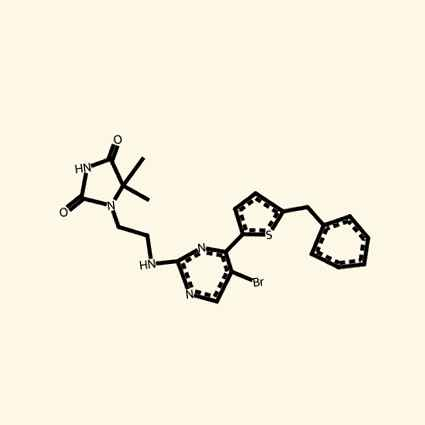 CC1(C)C(=O)NC(=O)N1CCNc1ncc(Br)c(-c2ccc(Cc3ccccc3)s2)n1